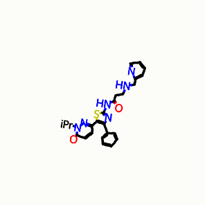 CC(C)n1nc(-c2sc(NC(=O)CCNCc3ccccn3)nc2-c2ccccc2)ccc1=O